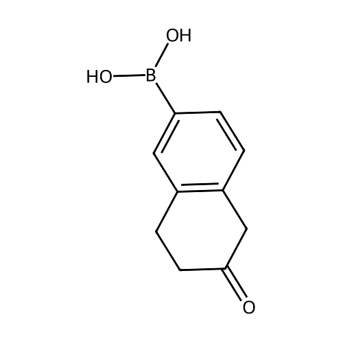 O=C1CCc2cc(B(O)O)ccc2C1